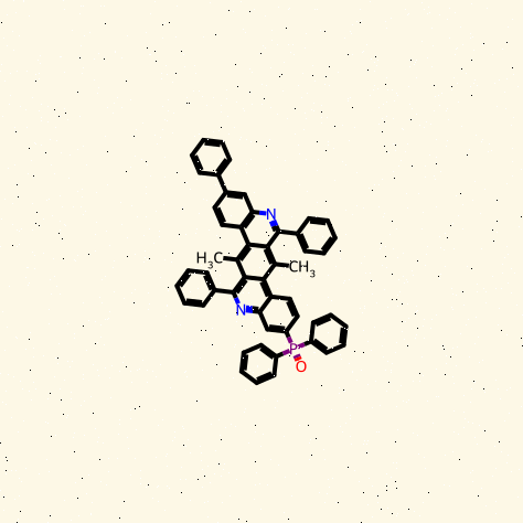 Cc1c2c(-c3ccccc3)nc3cc(P(=O)(c4ccccc4)c4ccccc4)ccc3c2c(C)c2c(-c3ccccc3)nc3cc(-c4ccccc4)ccc3c12